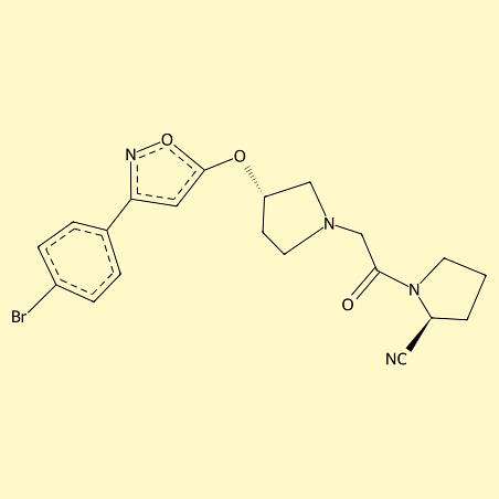 N#C[C@@H]1CCCN1C(=O)CN1CC[C@H](Oc2cc(-c3ccc(Br)cc3)no2)C1